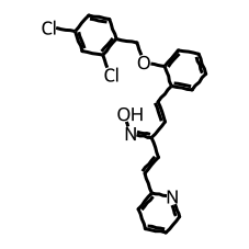 ON=C(C=Cc1ccccn1)C=Cc1ccccc1OCc1ccc(Cl)cc1Cl